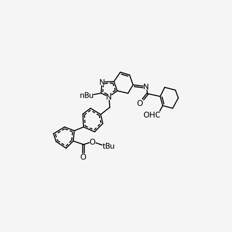 CCCCc1nc2c(n1Cc1ccc(-c3ccccc3C(=O)OC(C)(C)C)cc1)CC(=NC(=O)C1=C(C=O)CCCC1)C=C2